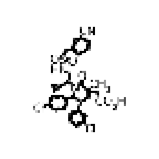 CC1(CC(=O)O)CC(c2cccc(Cl)c2)C(c2ccc(Cl)cc2)N(C(CNS(=O)(=O)Cc2cccc(C#N)c2)C2CC2)C1=O